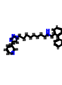 c1ccc(-c2ccccc2CNCCCCCCCCn2cc(-c3cccnc3)nn2)cc1